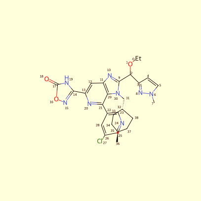 CCOC(c1ccn(C)n1)c1nc2cc(-c3noc(=O)[nH]3)nc(-c3cncc(Cl)c3)c2n1C[C@H]1CC[C@H](C)CC1